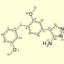 COc1cccc(Cc2ccc(-c3c[nH]nc3N)cc2OC)c1